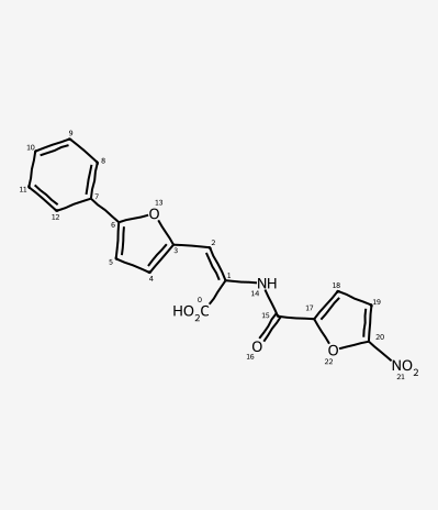 O=C(O)/C(=C\c1ccc(-c2ccccc2)o1)NC(=O)c1ccc([N+](=O)[O-])o1